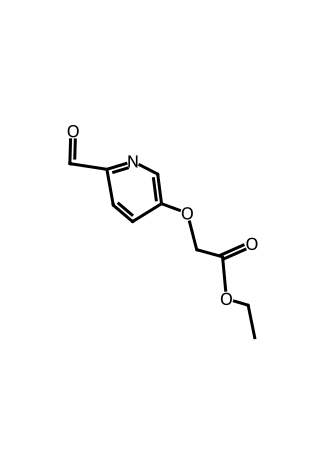 CCOC(=O)COc1ccc(C=O)nc1